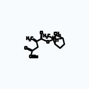 C=C(CC(=O)OC)C(=O)OC1(C)CC2CCC1[C@@H]2C